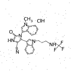 Cl.Cn1cc(-n2c(-c3cn(CCCNCC(F)(F)F)c4ccccc34)c(C#N)[nH]c2=O)c2ccccc21